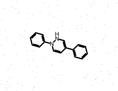 C1=CN(c2ccccc2)NC=C1c1ccccc1